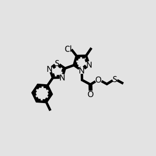 CSCOC(=O)Cn1nc(C)c(Cl)c1-c1nc(-c2cccc(C)c2)ns1